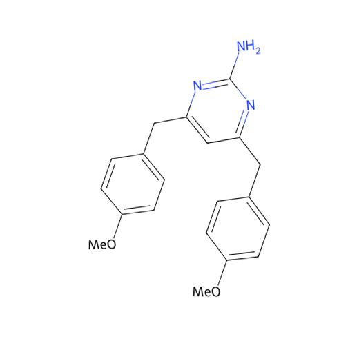 COc1ccc(Cc2cc(Cc3ccc(OC)cc3)nc(N)n2)cc1